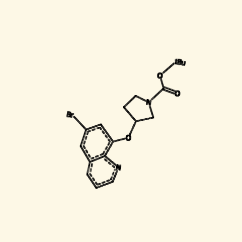 CC(C)(C)OC(=O)N1CCC(Oc2cc(Br)cc3cccnc23)C1